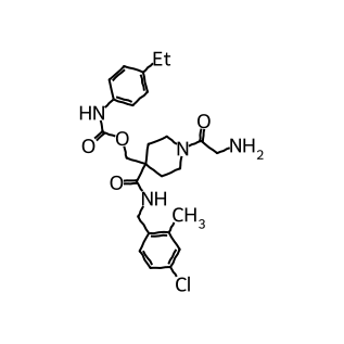 CCc1ccc(NC(=O)OCC2(C(=O)NCc3ccc(Cl)cc3C)CCN(C(=O)CN)CC2)cc1